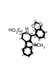 Cn1c2c(c3ccccc31)C[C@H](C(=O)O)NC2c1cccc2c1OCO2